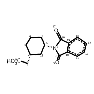 O=C(O)C[C@@H]1CCC[C@H](N2C(=O)c3ccccc3C2=O)C1